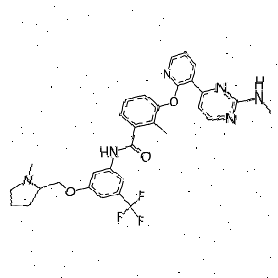 CNc1nccc(-c2cccnc2Oc2cccc(C(=O)Nc3cc(OCC4CCCN4C)cc(C(F)(F)F)c3)c2C)n1